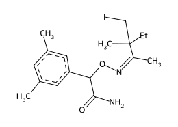 CCC(C)(CI)C(C)=NOC(C(N)=O)c1cc(C)cc(C)c1